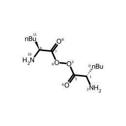 CCCC[C@H](N)C(=O)OOC(=O)[C@@H](N)CCCC